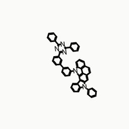 c1ccc(-c2nc(-c3ccccc3)nc(-c3cccc(-c4cccc(-n5c6cccc7ccc8cc9c(c%10ccccc%10n9-c9ccccc9)c5c8c76)c4)c3)n2)cc1